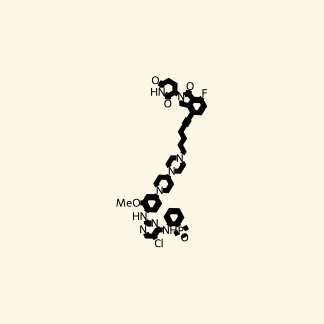 COc1cc(N2CCC(N3CCN(CCCCC#Cc4ccc(F)c5c4CN(C4CCC(=O)NC4=O)C5=O)CC3)CC2)ccc1Nc1ncc(Cl)c(Nc2ccccc2P(C)(C)=O)n1